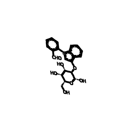 O=Cc1ccccc1-n1cc(O[C@@H]2[C@@H](O)[C@@H](O)[C@@H](CO)O[C@H]2O)c2ccccc21